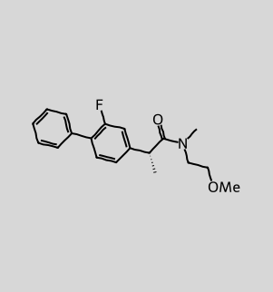 COCCN(C)C(=O)[C@H](C)c1ccc(-c2ccccc2)c(F)c1